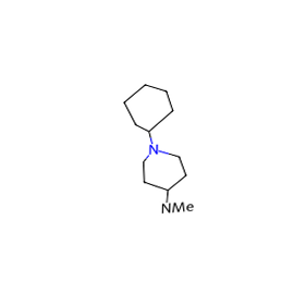 CNC1CCN(C2CCCCC2)CC1